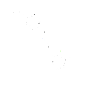 CC(=O)Nc1ccc(CNCCc2cccc(Cl)c2F)cc1